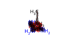 CCCCCCCCCCCCCCCCC(C)(C)C(=O)OCCSP(=O)(O)OC1[C@@H]2OCC[C@@]1(COP(O)(=S)O[C@H]1C(O)[C@@H](COP(=O)(O)O[C@H]3C(OC)[C@@H](COP(=O)(O)OCCO)O[C@H]3n3cnc4c(N)ncnc43)O[C@H]1n1cnc3c(N)ncnc31)O[C@H]2n1cnc2c(N)ncnc21